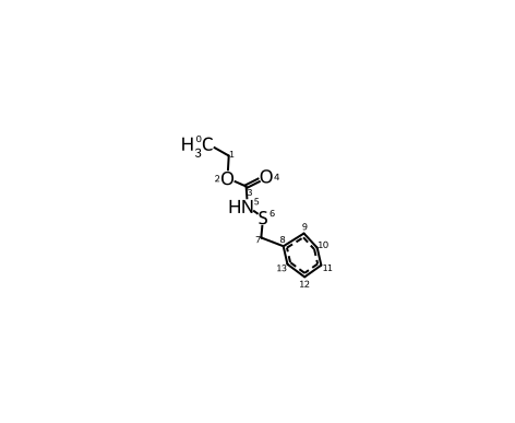 CCOC(=O)NSCc1ccccc1